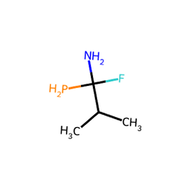 CC(C)C(N)(F)P